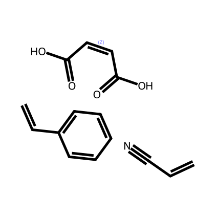 C=CC#N.C=Cc1ccccc1.O=C(O)/C=C\C(=O)O